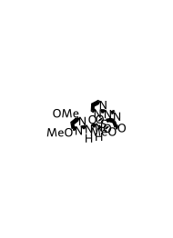 COC(=O)c1ncn(-c2ncccn2)c1S(=O)(=O)NC(=O)Nc1nc(OC)cc(OC)n1